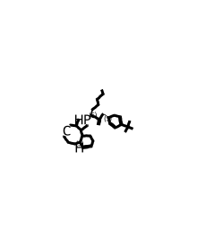 C=C(C[C@H]1C=CC(C(C)(C)C)=CC1)[C@H](CCCCC)PCC1C(C)CCCCC[C@@H]2C=CCCC12